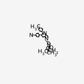 Cc1ccc(-c2nc3ccn(CC4CCN(C(=O)OC(C)(C)C)C4)c3cc2-c2ccc(C#N)cc2)cc1